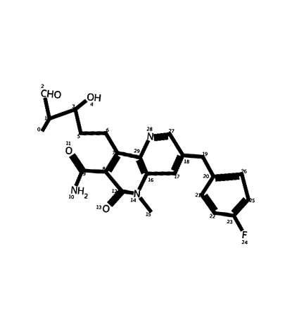 CC(C=O)C(O)CCc1c(C(N)=O)c(=O)n(C)c2cc(Cc3ccc(F)cc3)cnc12